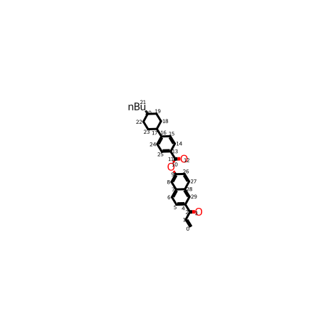 C=CC(=O)c1ccc2cc(OC(=O)c3ccc(C4CCC(CCCC)CC4)cc3)ccc2c1